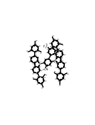 Cc1cc(-c2cc(-n3c4cc(-c5c(C)cc(C)cc5C)ccc4c4ccc(-c5c(C)cc(C)cc5C)cc43)c(C#N)cc2-n2c3cc(-c4c(C)cc(C)cc4C)ccc3c3ccc(-c4c(C)cc(C)cc4C)cc32)cc(C(F)(F)F)c1